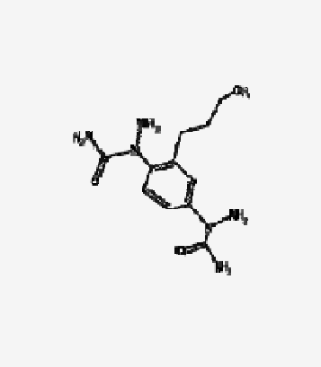 NC(=O)N(N)c1ccc(N(N)C(N)=O)c(CCCO)c1